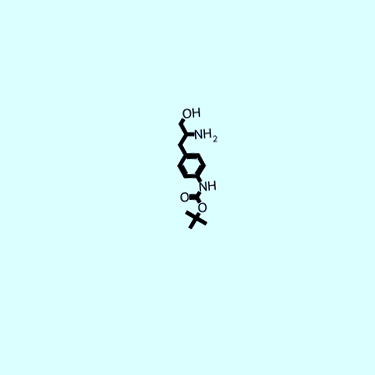 CC(C)(C)OC(=O)Nc1ccc(CC(N)CO)cc1